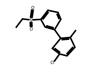 CCS(=O)(=O)c1cccc(-c2cc(Cl)ccc2C)c1